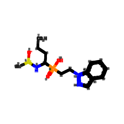 CC(C)(C)[S+]([O-])NC(CCC(=O)O)P(=O)(O)CCn1ncc2ccccc21